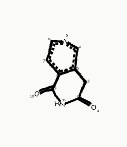 O=C1Cc2cnccc2C(=O)N1